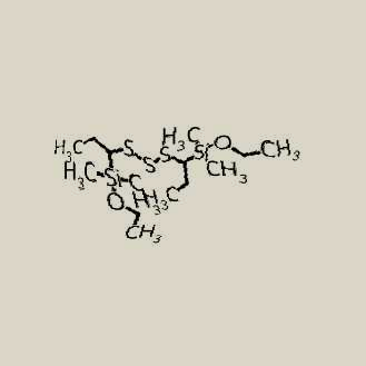 CCO[Si](C)(C)C(CC)SSSC(CC)[Si](C)(C)OCC